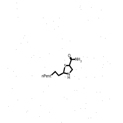 CCCCCCCC1NCC(C(N)=O)S1